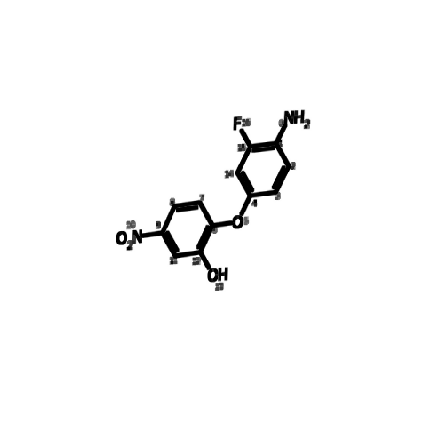 Nc1ccc(Oc2ccc([N+](=O)[O-])cc2O)cc1F